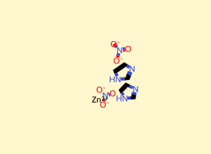 O=[N+]([O-])[O-].O=[N+]([O-])[O-].[Zn+2].c1c[nH]cn1.c1c[nH]cn1